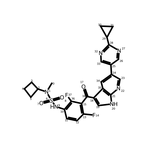 CN(C1CCC1)S(=O)(=O)Nc1ccc(F)c(C(=O)c2c[nH]c3ncc(-c4cnc(C5CC5)nc4)cc23)c1F